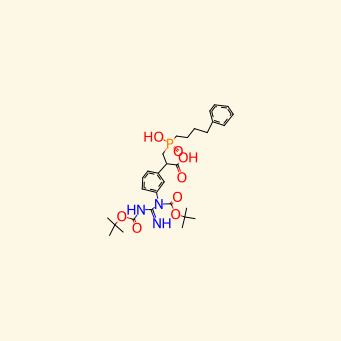 CC(C)(C)OC(=O)NC(=N)N(C(=O)OC(C)(C)C)c1cccc(C(CP(=O)(O)CCCCc2ccccc2)C(=O)O)c1